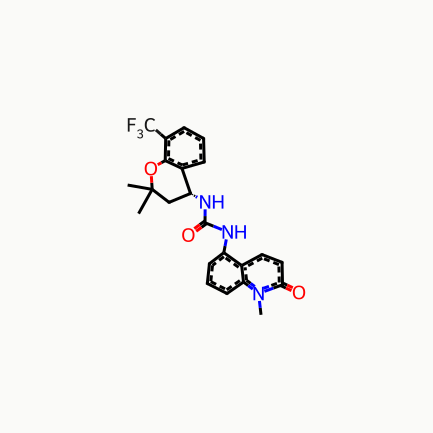 Cn1c(=O)ccc2c(NC(=O)N[C@@H]3CC(C)(C)Oc4c3cccc4C(F)(F)F)cccc21